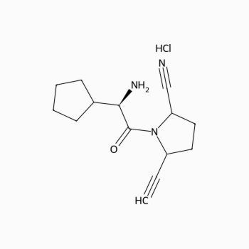 C#CC1CCC(C#N)N1C(=O)[C@H](N)C1CCCC1.Cl